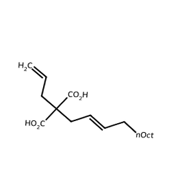 C=CCC(C/C=C/CCCCCCCCC)(C(=O)O)C(=O)O